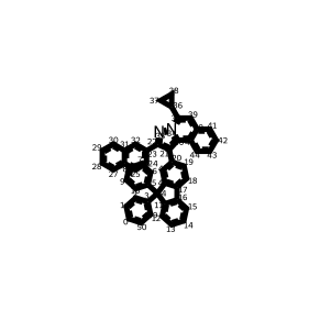 c1ccc(C2(c3ccccc3)c3ccccc3-c3ccc(-c4c(-c5ccc6ccccc6c5)nn5c(C6CC6)cc6ccccc6c45)cc32)cc1